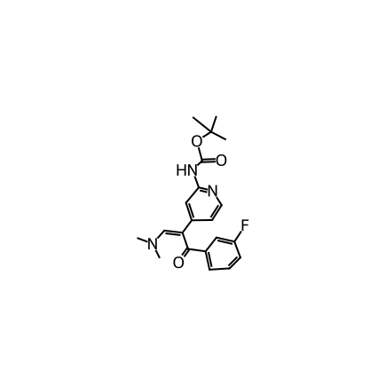 CN(C)/C=C(\C(=O)c1cccc(F)c1)c1ccnc(NC(=O)OC(C)(C)C)c1